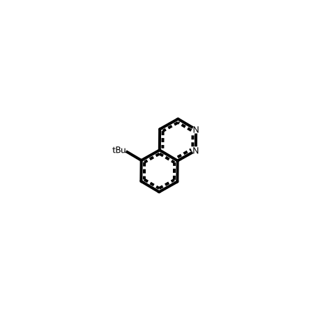 CC(C)(C)c1cccc2nnccc12